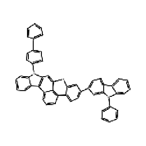 c1ccc(-c2ccc(-n3c4ccccc4c4c5cccc6c5c(cc43)Sc3cc(-c4ccc5c7ccccc7n(-c7ccccc7)c5c4)ccc3-6)cc2)cc1